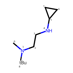 CN(CCNC1CC1)C(C)(C)C